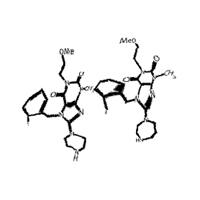 COCCn1c(=O)c2c(nc(N3CCCNCC3)n2Cc2ccccc2I)n(C)c1=O.COCCn1c(=O)c2c(nc(N3CCNCC3)n2Cc2ccccc2I)n(C)c1=O